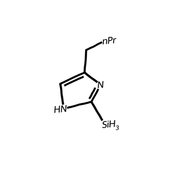 CCCCc1c[nH]c([SiH3])n1